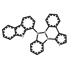 c1ccc2c(c1)B1N(c3ccccc3N1c1cccc3c1oc1ccccc13)c1sccc1-2